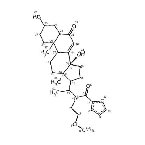 COCCN(C(=O)c1ccco1)C(C)C1CC[C@@]2(O)C3=CC(=O)C4CC(O)CCC4(C)C3CC[C@]12C